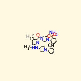 Cc1cc(C)c(C(=O)N2CCN(c3ccccc3S(N)(=O)=O)CC2)nc1NC1CCN(c2ccccc2C#N)CC1